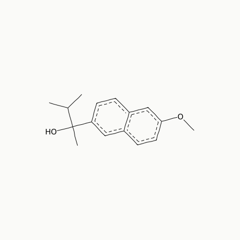 COc1ccc2cc(C(C)(O)C(C)C)ccc2c1